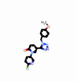 COc1ccc(Cn2nnnc2-c2ccc(=O)n(-c3ccc(Cl)nc3)c2)cc1